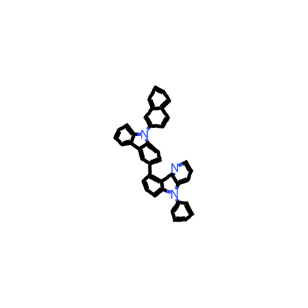 c1ccc(-n2c3cccnc3c3c(-c4ccc5c(c4)c4ccccc4n5-c4ccc5ccccc5c4)cccc32)cc1